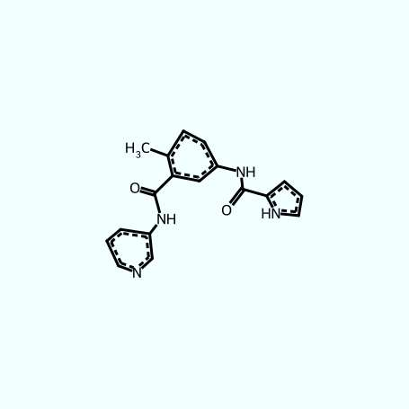 Cc1ccc(NC(=O)c2ccc[nH]2)cc1C(=O)Nc1cccnc1